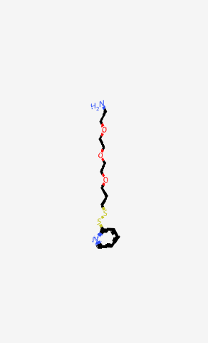 NCCOCCOCCOCCCSSc1ccccn1